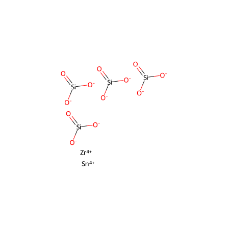 O=[Si]([O-])[O-].O=[Si]([O-])[O-].O=[Si]([O-])[O-].O=[Si]([O-])[O-].[Sn+4].[Zr+4]